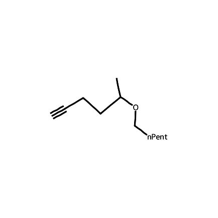 C#CCCC(C)OCCCCCC